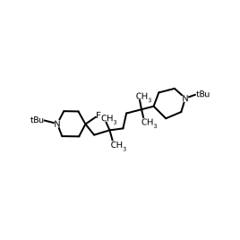 CC(C)(CCC(C)(C)C1CCN(C(C)(C)C)CC1)CC1(F)CCN(C(C)(C)C)CC1